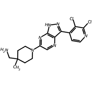 CC1(CN)CCN(c2cnc3c(-c4ccnc(Cl)c4Cl)n[nH]c3n2)CC1